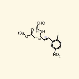 Cc1ccc([N+](=O)[O-])cc1/C=C/[C@H](CC(=O)OC(C)(C)C)NBC=O